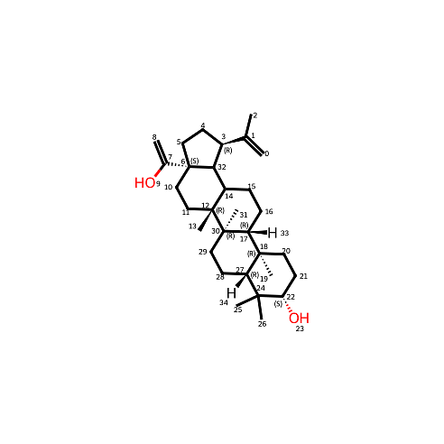 C=C(C)[C@@H]1CC[C@]2(C(=C)O)CC[C@]3(C)C(CC[C@@H]4[C@@]5(C)CC[C@H](O)C(C)(C)[C@@H]5CC[C@]43C)C12